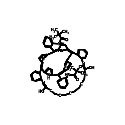 CC(C)(C)C(=O)Nc1ccccc1-c1c2nc(c3c4ccc([nH]4)c(-c4ccccc4NC(=O)C(C)(C)C)c4nc(c(c5ccc1[nH]5)-c1ccccc1N=C(O)CCCCCCCCCCC(O)=Nc1ccccc1-3)C=C4)C=C2